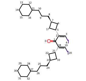 O=C(C(=CI)[C@H]1C[C@H](CCCC2CCCCC2)C1)C(=CI)[C@H]1C[C@H](CCCC2CCCCC2)C1